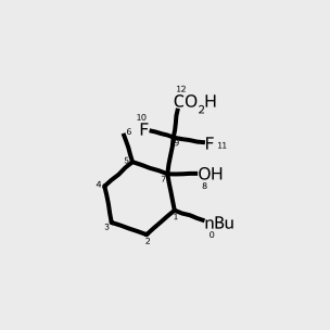 CCCCC1CCCC(C)C1(O)C(F)(F)C(=O)O